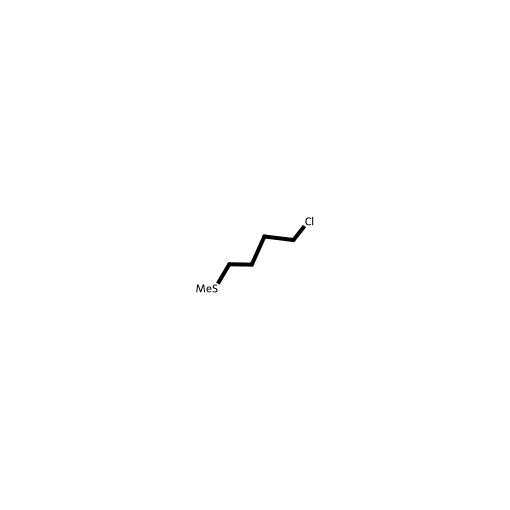 CSCCCCCl